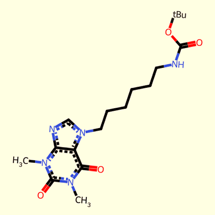 Cn1c(=O)c2c(ncn2CCCCCCNC(=O)OC(C)(C)C)n(C)c1=O